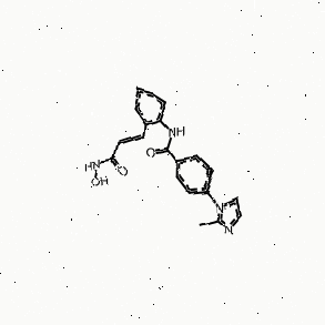 Cc1nccn1-c1ccc(C(=O)Nc2ccccc2C=CC(=O)NO)cc1